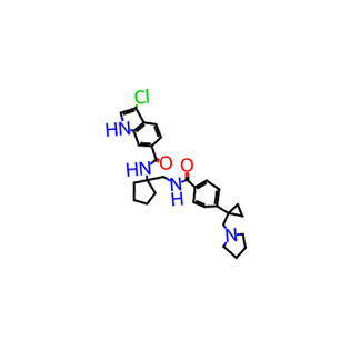 O=C(NCC1(NC(=O)c2ccc3c(Cl)c[nH]c3c2)CCCC1)c1ccc(C2(CN3CCCC3)CC2)cc1